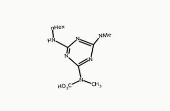 CCCCCCNc1nc(NC)nc(N(C)C(=O)O)n1